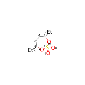 CC[C@H]1CC[C@H](CC)OS(=O)(=O)O1